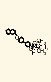 COC(=O)C(NS(=O)(=O)c1ccc(-c2ccc(OCc3ccc4ccccc4c3)cc2)cc1)C(C)C